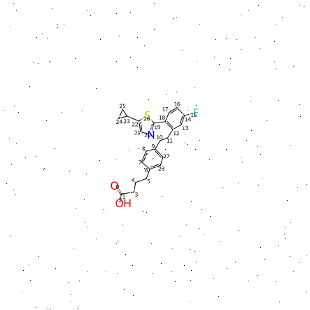 O=C(O)CCCc1ccc(CCc2cc(F)ccc2-c2ncc(C3CC3)s2)cc1